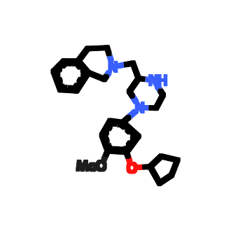 COc1ccc(N2CCNC(CN3CCc4ccccc4C3)C2)cc1OC1CCCC1